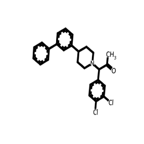 CC(=O)C(c1ccc(Cl)c(Cl)c1)N1CCC(c2cccc(-c3ccccc3)c2)CC1